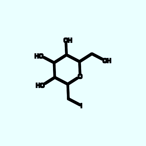 OCC1OC(CI)C(O)C(O)C1O